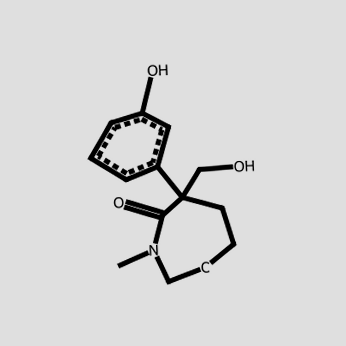 CN1CCCCC(CO)(c2cccc(O)c2)C1=O